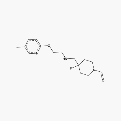 Cc1ccc(OCCNCC2(F)CCN(C=O)CC2)nc1